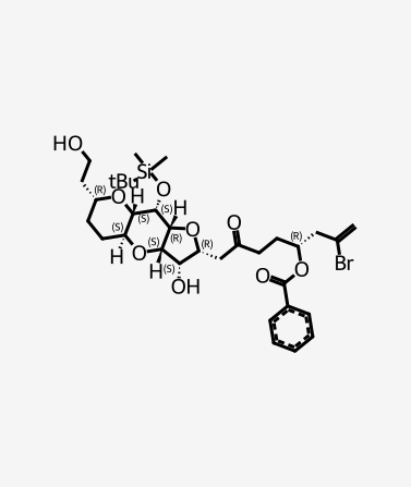 C=C(Br)C[C@@H](CCC(=O)C[C@H]1O[C@H]2[C@@H](O[Si](C)(C)C(C)(C)C)[C@H]3O[C@@H](CCO)CC[C@@H]3O[C@H]2[C@H]1O)OC(=O)c1ccccc1